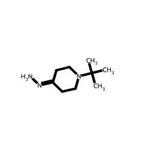 CC(C)(C)N1CCC(=NN)CC1